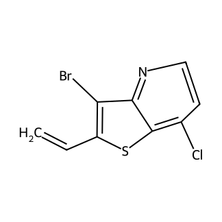 C=Cc1sc2c(Cl)ccnc2c1Br